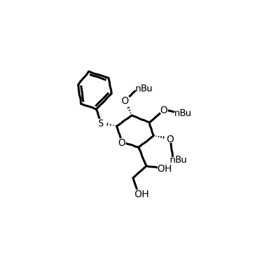 CCCCOC1[C@H](OCCCC)C(C(O)CO)O[C@H](Sc2ccccc2)[C@@H]1OCCCC